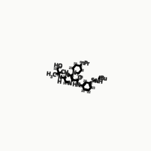 CCCC1CCN(c2nc(NC(C)(C)CO)cnc2C(=O)Nc2cccc(SNC(C)(C)C)c2)CC1